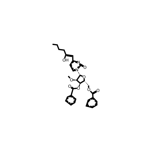 CCCCC(O)=Cc1ccn([C@@H]2O[C@H](COC(=O)c3ccccc3)[C@@H](OC(=O)c3ccccc3)[C@H]2OC)c(=O)n1